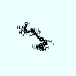 C#CCN(C)C(=O)CN(C)CCNC(=O)C(C)(C)NC(=O)CCCCc1ccc(Cc2cc([C@@H]3OC(/C=[SH]\C)[C@@H](O)[C@H](O)[C@H]3O)ccc2C)cc1